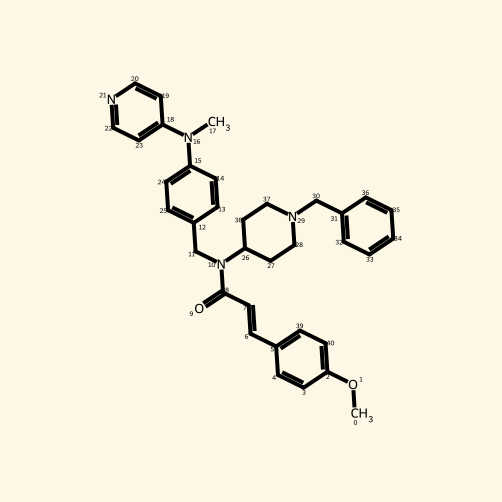 COc1ccc(C=CC(=O)N(Cc2ccc(N(C)c3ccncc3)cc2)C2CCN(Cc3ccccc3)CC2)cc1